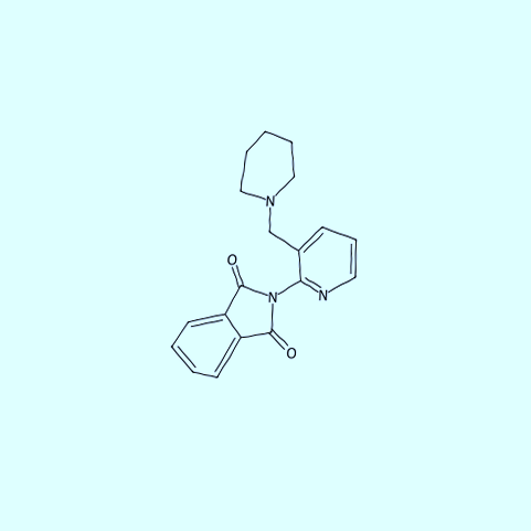 O=C1c2ccccc2C(=O)N1c1ncccc1CN1CCCCC1